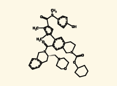 Cc1c(C(=O)N(C)c2ccc(O)cc2)cc(-c2cc3c(cc2C(=O)N2Cc4ccccc4C[C@H]2CN2CCOCC2)CN(C(=O)OC2CCCCC2)CC3)n1C